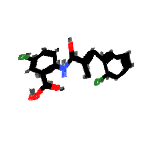 CC(=Cc1ccccc1Cl)C(=O)Nc1ccc(Cl)cc1C(=O)O